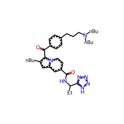 CCCCc1cc2cc(C(=O)NC(CC)c3nnn[nH]3)ccn2c1C(=O)c1ccc(CCCN(CCCC)CCCC)cc1